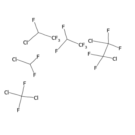 FC(Cl)C(F)(F)F.FC(F)(Cl)C(F)(F)Cl.FC(F)(Cl)Cl.FC(F)C(F)(F)F.FC(F)Cl